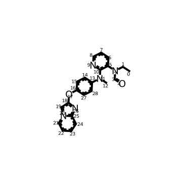 CCN(C=O)c1cccnc1N(C)c1ccc(Oc2cn3ccccc3n2)cc1